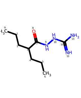 CCCC(CCC)C(=O)NNC(=N)N